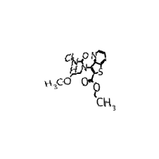 CCOC(=O)c1sc2cccnc2c1N(CCOC)C(=O)NCl